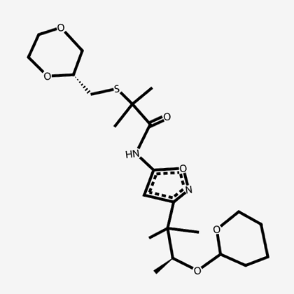 C[C@H](OC1CCCCO1)C(C)(C)c1cc(NC(=O)C(C)(C)SC[C@H]2COCCO2)on1